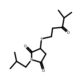 CC(C)CN1C(=O)CC(SCCC(=O)C(C)C)C1=O